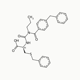 CCCN(C(=O)N[C@@H](CSCc1ccccc1)C(=O)O)C(=O)c1ccc(Cc2ccccc2)cc1